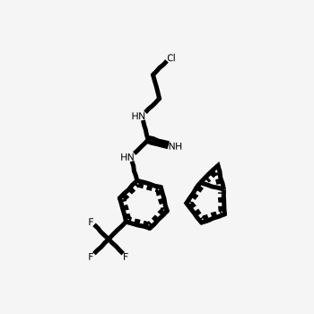 N=C(NCCCl)Nc1cccc(C(F)(F)F)c1.c1cc2cc-2c1